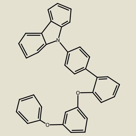 c1ccc(Oc2cccc(Oc3ccccc3-c3ccc(-n4c5ccccc5c5ccccc54)cc3)c2)cc1